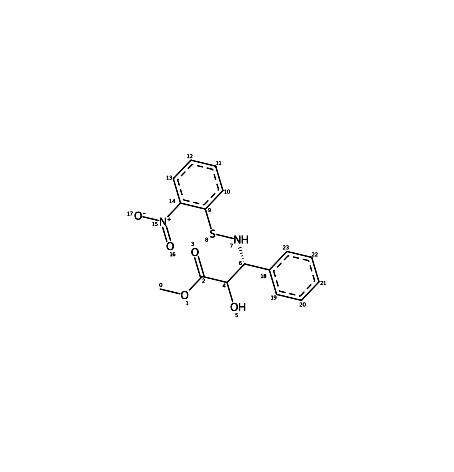 COC(=O)C(O)[C@H](NSc1ccccc1[N+](=O)[O-])c1ccccc1